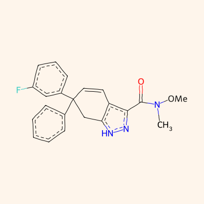 CON(C)C(=O)c1n[nH]c2c1C=CC(c1ccccc1)(c1cccc(F)c1)C2